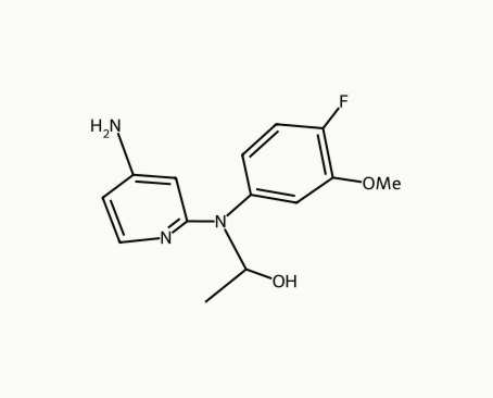 COc1cc(N(c2cc(N)ccn2)C(C)O)ccc1F